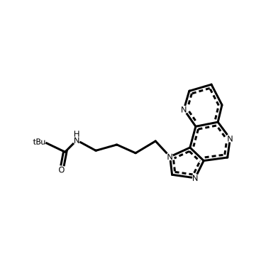 CC(C)(C)C(=O)NCCCCn1cnc2cnc3cccnc3c21